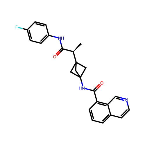 C[C@H](C(=O)Nc1ccc(F)cc1)C12CC(NC(=O)c3cccc4ccncc34)(C1)C2